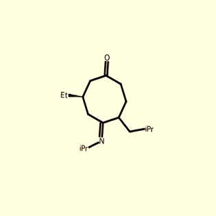 CC[C@H]1CC(=O)CCC(CC(C)C)/C(=N/C(C)C)C1